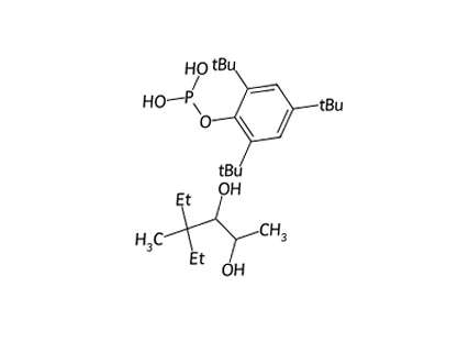 CC(C)(C)c1cc(C(C)(C)C)c(OP(O)O)c(C(C)(C)C)c1.CCC(C)(CC)C(O)C(C)O